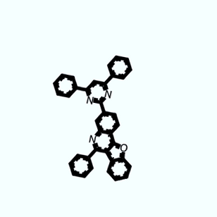 c1ccc(-c2cc(-c3ccccc3)nc(-c3ccc4c(c3)nc(-c3ccccc3)c3c5ccccc5oc43)n2)cc1